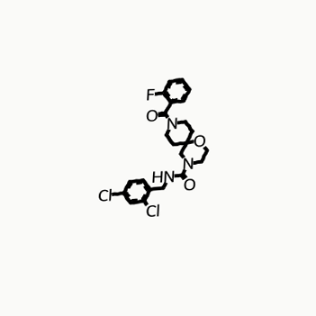 O=C(NCc1ccc(Cl)cc1Cl)N1CCOC2(CCN(C(=O)c3ccccc3F)CC2)C1